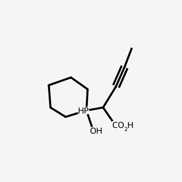 CC#CC(C(=O)O)[PH]1(O)CCCCC1